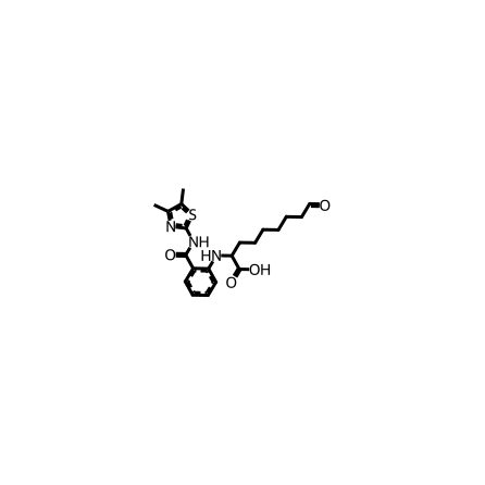 Cc1nc(NC(=O)c2ccccc2NC(CCCCCCC=O)C(=O)O)sc1C